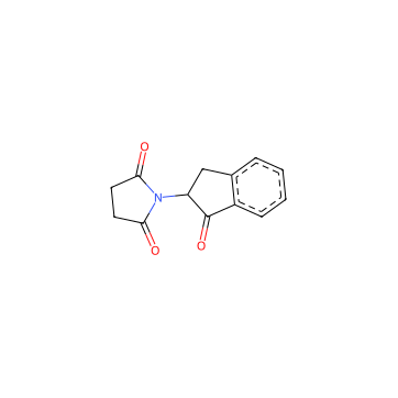 O=C1c2ccccc2CC1N1C(=O)CCC1=O